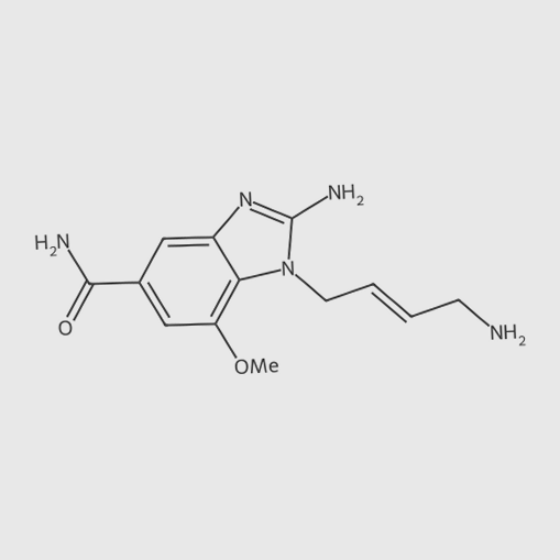 COc1cc(C(N)=O)cc2nc(N)n(CC=CCN)c12